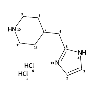 Cl.Cl.c1c[nH]c(CC2CCNCC2)n1